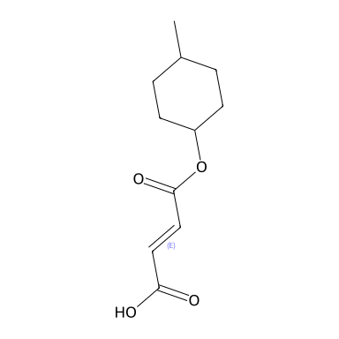 CC1CCC(OC(=O)/C=C/C(=O)O)CC1